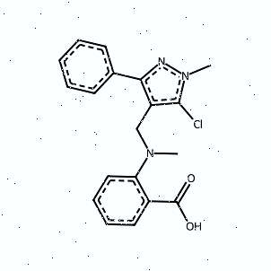 CN(Cc1c(-c2ccccc2)nn(C)c1Cl)c1ccccc1C(=O)O